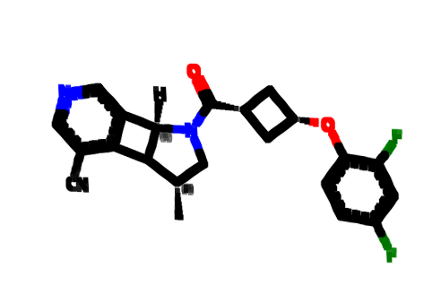 C[C@H]1CN(C(=O)[C@H]2C[C@@H](Oc3ccc(F)cc3F)C2)[C@@H]2c3cncc(C#N)c3C21